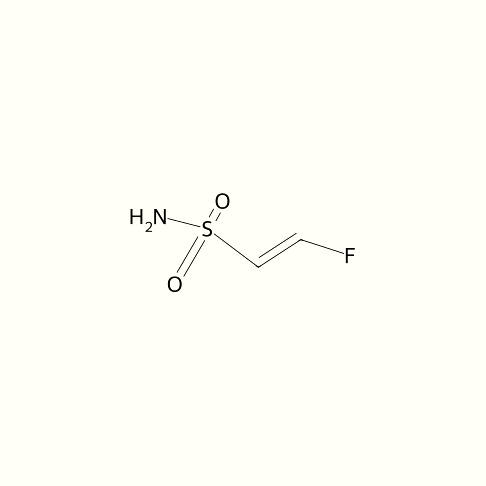 NS(=O)(=O)C=CF